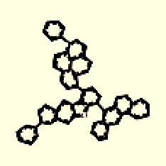 c1ccc(-c2ccc3cc4c(cc3c2)oc2c(-c3c5ccccc5cc5c3ccc3ccccc35)ccc(-c3ccc5ccc6c(-c7ccccc7)ccc7ccc3c5c76)c24)cc1